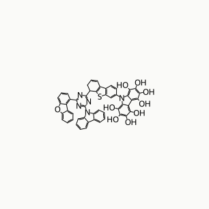 Oc1c(O)c(O)c2c(c1O)c1c(O)c(O)c(O)c(O)c1n2-c1ccc2c3c(sc2c1)C(c1nc(-c2cccc4oc5ccccc5c24)nc(-n2c4ccccc4c4ccccc42)n1)CC=C3